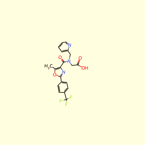 Cc1oc(-c2ccc(C(F)(F)F)cc2)nc1C(=O)N(CC(=O)O)Cc1ccccn1